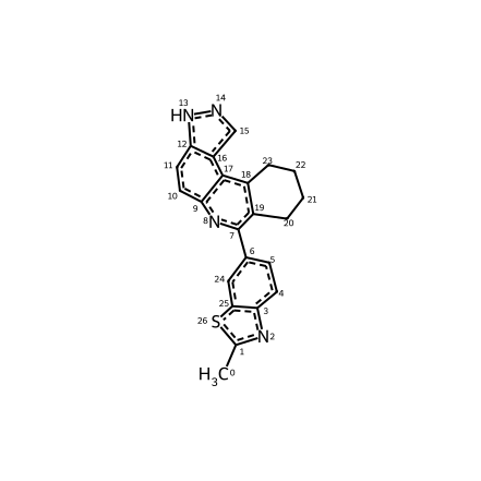 Cc1nc2ccc(-c3nc4ccc5[nH]ncc5c4c4c3CCCC4)cc2s1